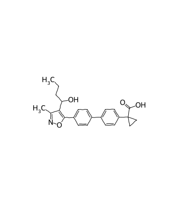 CCCC(O)c1c(C)noc1-c1ccc(-c2ccc(C3(C(=O)O)CC3)cc2)cc1